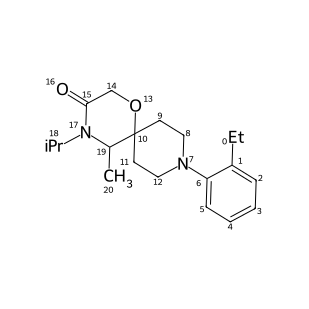 CCc1ccccc1N1CCC2(CC1)OCC(=O)N(C(C)C)C2C